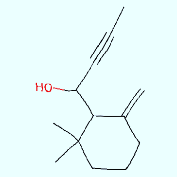 C=C1CCCC(C)(C)C1C(O)C#CC